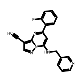 C#Cc1cnn2c(NCc3cccnc3)cc(-c3ccccc3F)nc12